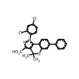 CC1(C)Oc2cc(-c3ccccc3)ccc2-c2c1c(C(=O)O)nn2-c1ccc(Cl)cc1Cl